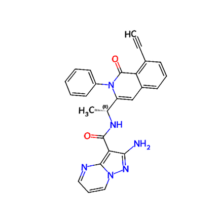 C#Cc1cccc2cc([C@@H](C)NC(=O)c3c(N)nn4cccnc34)n(-c3ccccc3)c(=O)c12